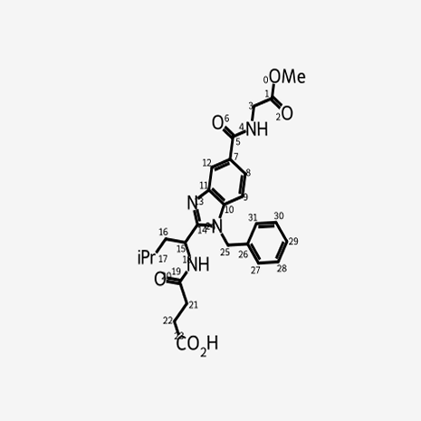 COC(=O)CNC(=O)c1ccc2c(c1)nc(C(CC(C)C)NC(=O)CCC(=O)O)n2Cc1ccccc1